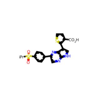 CC(C)S(=O)(=O)c1ccc(-c2cnc3[nH]cc(-c4sccc4C(=O)O)c3n2)cc1